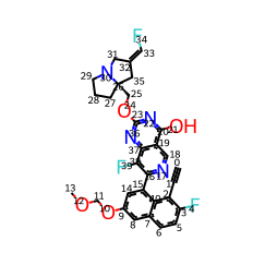 C#Cc1c(F)ccc2cc(OCOC)cc(-c3ncc4c(O)nc(OC[C@@]56CCCN5C/C(=C\F)C6)nc4c3F)c12